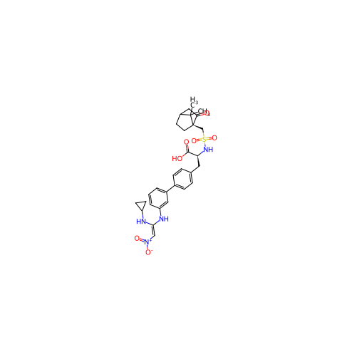 CC1(C)C2CC[C@@]1(CS(=O)(=O)N[C@@H](Cc1ccc(-c3cccc(N/C(=C/[N+](=O)[O-])NC4CC4)c3)cc1)C(=O)O)C(=O)C2